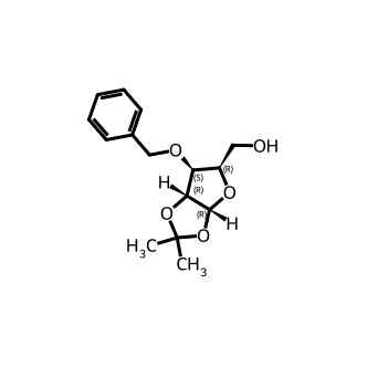 CC1(C)O[C@H]2O[C@H](CO)[C@H](OCc3ccccc3)[C@H]2O1